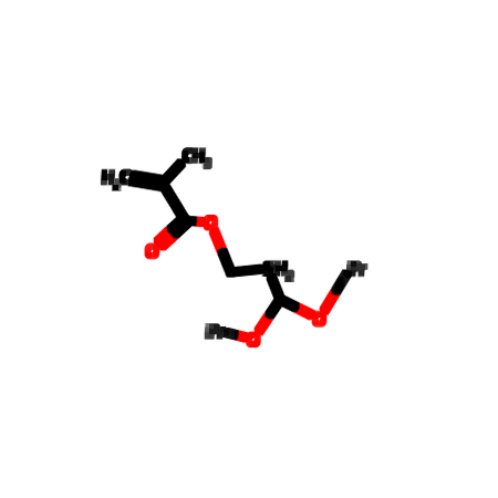 C=C(C)C(=O)OC[SiH2]C(OC(C)C)OC(C)C